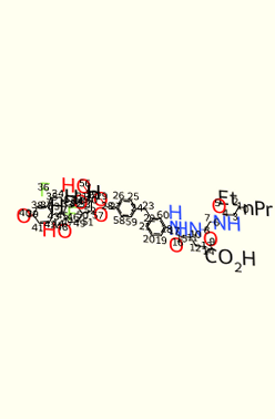 CCCC(CC)CC(=O)NCC(=O)N[C@@H](CCC(=O)O)C(=O)Nc1cccc(Cc2ccc([C@@H]3O[C@@H]4C[C@H]5[C@@H]6C[C@H](F)C7=CC(=O)C=C[C@]7(C)[C@@]6(F)[C@@H](O)C[C@]5(C)[C@]4(C(=O)CO)O3)cc2)c1